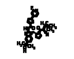 CC(C)(C)C=C(C#N)C(=O)N1CCC[C@@H]1Cn1c(NC(=O)c2ccc(-c3ccnc(F)c3)s2)nc2cc(C(C)(C)O)ccc21